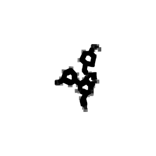 CC1CCC(Cn2cnc3nc(C#N)nc(-c4cccc(Cl)c4)c32)CC1